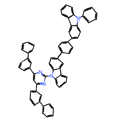 c1ccc(-c2cccc(-c3cc(-c4cccc(-c5ccccc5)c4)nc(-n4c5ccccc5c5cc(-c6ccc(-c7ccc8c(c7)c7ccccc7n8-c7ccccc7)cc6)ccc54)n3)c2)cc1